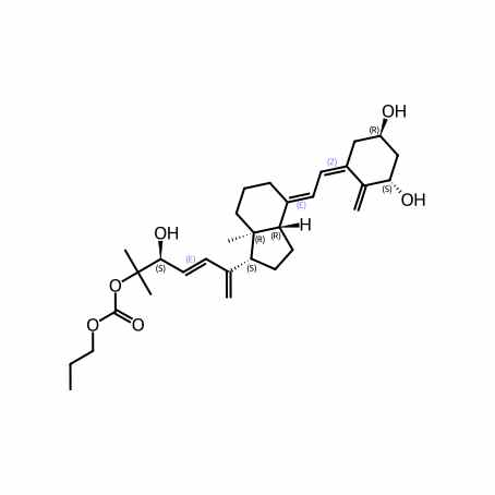 C=C(/C=C/[C@H](O)C(C)(C)OC(=O)OCCC)[C@H]1CC[C@H]2/C(=C/C=C3/C[C@@H](O)C[C@H](O)C3=C)CCC[C@]12C